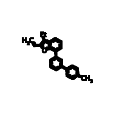 C=Cc1oc2c(-c3cccc(-c4ccc(C)cc4)c3)cccc2c1CC